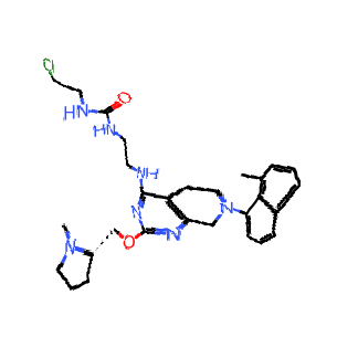 Cc1cccc2cccc(N3CCc4c(nc(OC[C@@H]5CCCN5C)nc4NCCNC(=O)NCCCl)C3)c12